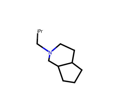 CC(C)CN1CCC2CCCC2C1